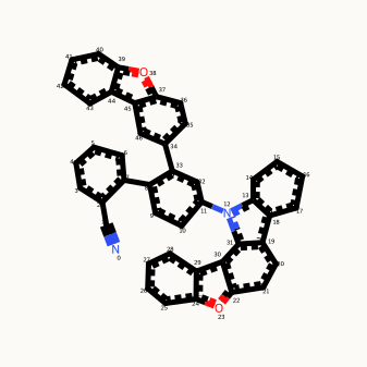 N#Cc1ccccc1-c1ccc(-n2c3ccccc3c3ccc4oc5ccccc5c4c32)cc1-c1ccc2oc3ccccc3c2c1